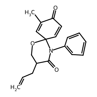 C=CCC1COC2(C=CC(=O)C(C)=C2)N(c2ccccc2)C1=O